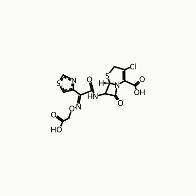 O=C(O)CON=C(C(=O)NC1C(=O)N2C(C(=O)O)=C(Cl)CS[C@@H]12)c1cscn1